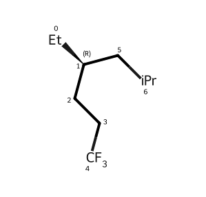 CC[C@H](CCC(F)(F)F)CC(C)C